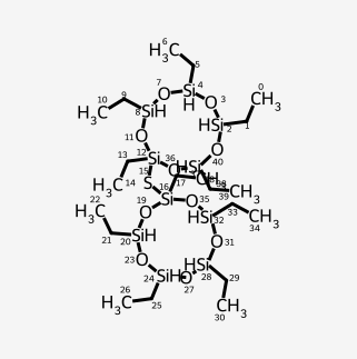 CC[SiH]1O[SiH](CC)O[SiH](CC)O[Si](CC)(S[Si]2(CC)O[SiH](CC)O[SiH](CC)O[SiH](CC)O[SiH](CC)O2)O[SiH](CC)O1